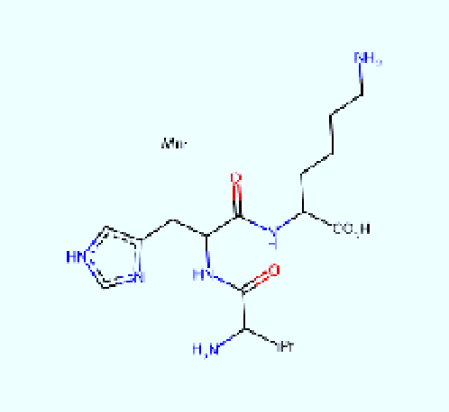 CC(C)C(N)C(=O)NC(Cc1c[nH]cn1)C(=O)NC(CCCCN)C(=O)O.[Mn]